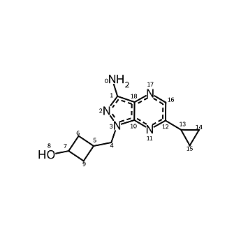 Nc1nn(CC2CC(O)C2)c2nc(C3CC3)cnc12